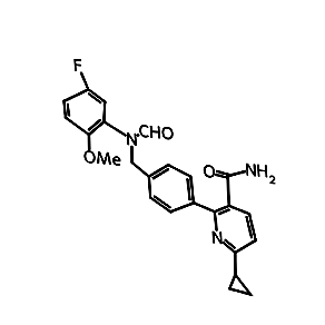 COc1ccc(F)cc1N(C=O)Cc1ccc(-c2nc(C3CC3)ccc2C(N)=O)cc1